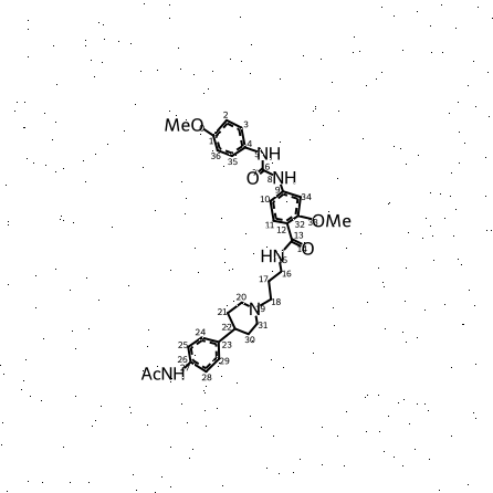 COc1ccc(NC(=O)Nc2ccc(C(=O)NCCCN3CCC(c4ccc(NC(C)=O)cc4)CC3)c(OC)c2)cc1